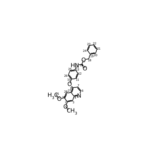 COc1cc2nccc(Oc3ccc(NC(=O)OCc4ccccc4)cc3)c2cc1OC